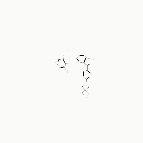 COc1cc2[nH]nc(-c3ccc(N4CC5(COC5)C4)nc3)c2cc1OC(C)c1c(Cl)cnc(C)c1Cl